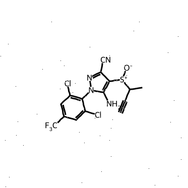 C#CC(C)[S+]([O-])c1c(C#N)nn(-c2c(Cl)cc(C(F)(F)F)cc2Cl)c1N